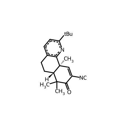 [C-]#[N+]C1=C[C@]2(C)c3nc(C(C)(C)C)ccc3CC[C@H]2C(C)(C)C1=O